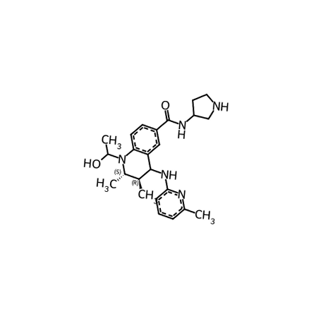 Cc1cccc(NC2c3cc(C(=O)NC4CCNC4)ccc3N(C(C)O)[C@@H](C)[C@@H]2C)n1